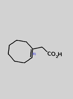 O=C(O)C/C1=C/CCCCCC1